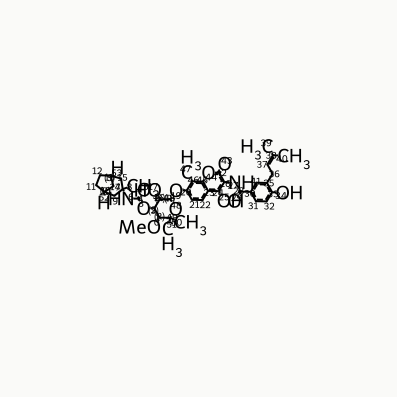 CO[C@@H]1[C@@H](OC(=O)NC2(C)C[C@@H]3CC[C@@H](C3)C2)[C@@H](O)[C@H](Oc2ccc3c(O)c(NC(=O)c4ccc(O)c(CC=C(C)C)c4)c(=O)oc3c2C)OC1(C)C